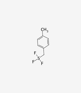 Cc1ccc(CS(F)(F)F)cc1